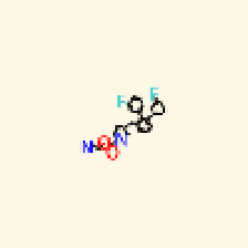 N#CCOC(=O)c1ccc(Cc2cccc(-c3cccc(F)c3)c2-c2cccc(F)c2)cn1